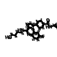 O=C(NC1CC1)c1ccc(-c2cnc3c(NCCCCO)nc4ccc(F)cc4n23)cc1